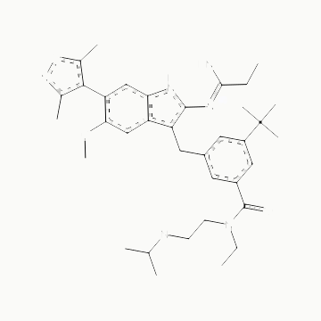 CC/C(N)=N/c1[nH]c2cc(-c3c(C)noc3C)c(OC)cc2c1Cc1cc(C(=O)N(CC)CCNC(C)C)cc(C(C)(C)C)c1